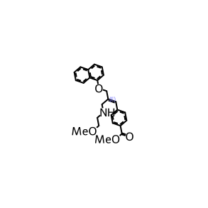 COCCNC/C(=C\c1ccc(C(=O)OC)cc1)COc1cccc2ccccc12